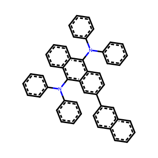 c1ccc(N(c2ccccc2)c2c3ccccc3c(N(c3ccccc3)c3ccccc3)c3cc(-c4ccc5ccccc5c4)ccc23)cc1